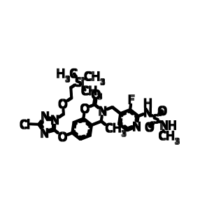 CNS(=O)(=O)Nc1nccc(CN2C(=O)Oc3cc(Oc4nc(Cl)nn4COCC[Si](C)(C)C)ccc3C2C)c1F